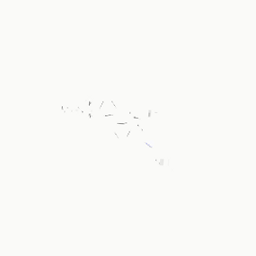 CNS(=O)(=O)c1cccc(-c2cccc3c2nc(C(C)C)n3C/C(F)=C/CN)c1